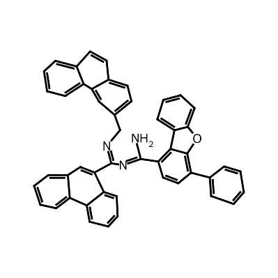 N/C(=N\C(=N/Cc1ccc2ccc3ccccc3c2c1)c1cc2ccccc2c2ccccc12)c1ccc(-c2ccccc2)c2oc3ccccc3c12